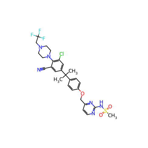 CC(C)(c1ccc(OCc2ccnc(NS(C)(=O)=O)n2)cc1)c1cc(Cl)c(N2CCN(CC(F)(F)F)CC2)c(C#N)c1